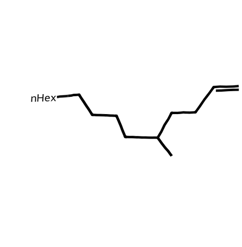 C=CCCC(C)CCCCCCCCCC